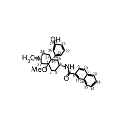 CO[C@]12CC[C@H](NC(=O)c3ccc4ccccc4c3)C[C@]1(c1cccc(O)c1)CCN(C)C2